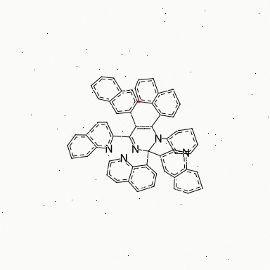 c1ccc(N2C(c3cccc4ccccc34)=C(c3ccc4ccccc4c3)C(c3ccc4ccccc4n3)=NC2(c2cnc3ccccc3c2)c2cccc3cccnc23)cc1